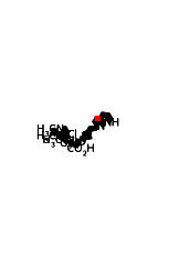 Cc1c(N(C)C)ncc(Cl)c1C(=O)N[C@H](CCOC1CC(CCc2ccc3c(n2)NCCC3)C1)C(=O)O